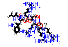 CC(C)CC(C)C(=O)N[C@@H](Cc1c[nH]c2ccccc12)C(=O)N[C@@H](CCCNC(=N)N)C(=O)N[C@@H](CO)C(=O)N[C@H](CCCNC(=N)N)C(=O)N[C@H](CCCNC(=N)N)C(=O)N[C@@H](C)CCCNC(=N)N